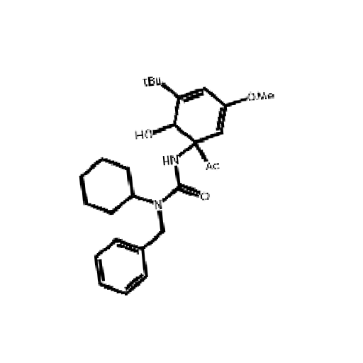 COC1=CC(NC(=O)N(Cc2ccccc2)C2CCCCC2)(C(C)=O)C(O)C(C(C)(C)C)=C1